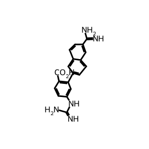 N=C(N)Nc1ccc(C(=O)O)c(-c2ccc3cc(C(=N)N)ccc3c2)c1